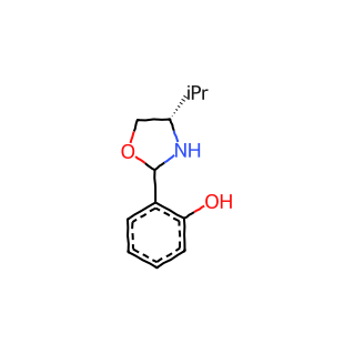 CC(C)[C@H]1COC(c2ccccc2O)N1